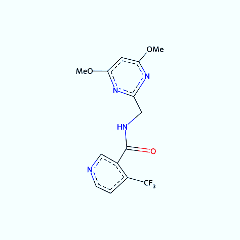 COc1cc(OC)nc(CNC(=O)c2cnccc2C(F)(F)F)n1